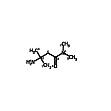 CN(C)C(=O)CC(C)(C)N